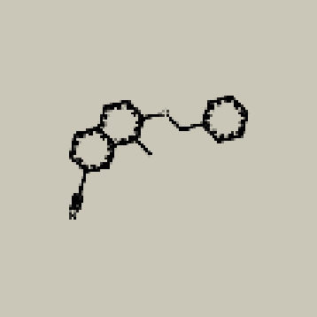 N#Cc1ccc2ccc(OCc3ccccc3)c(I)c2c1